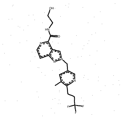 Cc1cc(Cn2cc3c(C(=O)NCCO)nccc3n2)cnc1CCC(F)(F)F